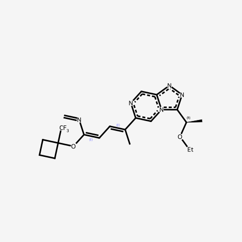 C=N/C(=C\C=C(/C)c1cn2c([C@@H](C)OCC)nnc2cn1)OC1(C(F)(F)F)CCC1